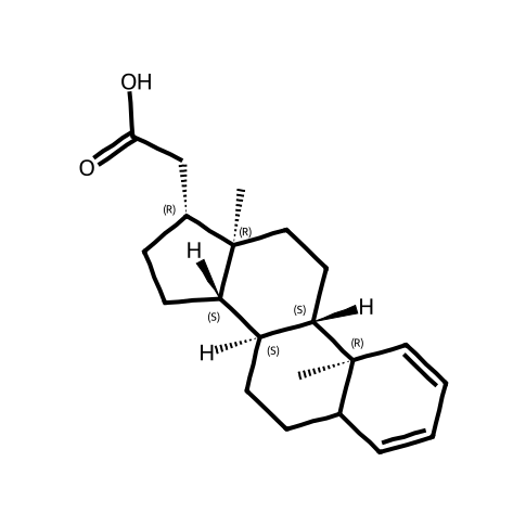 C[C@]12CC[C@H]3[C@@H](CCC4C=CC=C[C@@]43C)[C@@H]1CC[C@@H]2CC(=O)O